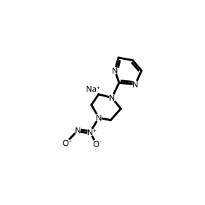 [Na+].[O-]N=[N+]([O-])N1CCN(c2ncccn2)CC1